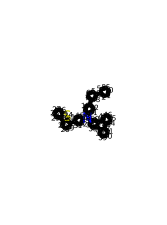 c1ccc(-c2cccc(-c3ccc(N(c4ccc(-c5cccc6c5sc5ccccc56)cc4)c4ccc5c6ccccc6c6ccccc6c5c4)cc3)c2)cc1